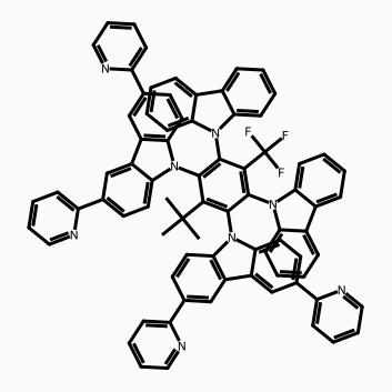 CC(C)(C)c1c(-n2c3ccc(-c4ccccn4)cc3c3cc(-c4ccccn4)ccc32)c(-n2c3ccccc3c3ccccc32)c(C(F)(F)F)c(-n2c3ccccc3c3ccccc32)c1-n1c2ccc(-c3ccccn3)cc2c2cc(-c3ccccn3)ccc21